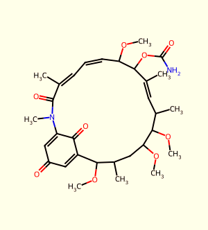 COC1/C=C\C=C(/C)C(=O)N(C)C2=CC(=O)C=C(C2=O)C(OC)C(C)CC(OC)C(OC)C(C)/C=C(\C)C1OC(N)=O